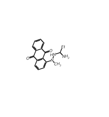 CCC(N)NN(C)c1cccc2c1C(=O)c1ccccc1C2=O